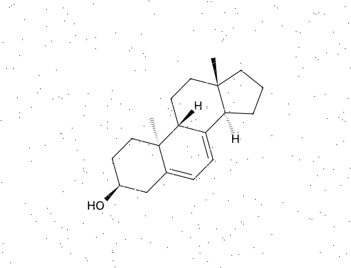 C[C@@]12CCC[C@H]1C1=CC=C3C[C@@H](O)CC[C@@]3(C)[C@@H]1CC2